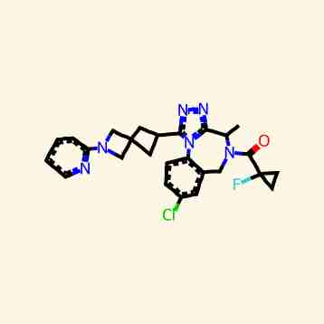 CC1c2nnc(C3CC4(C3)CN(c3ccccn3)C4)n2-c2ccc(Cl)cc2CN1C(=O)C1(F)CC1